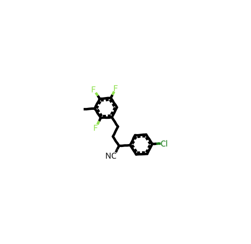 Cc1c(F)c(F)cc(CCC(C#N)c2ccc(Cl)cc2)c1F